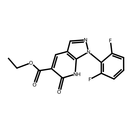 CCOC(=O)c1cc2cnn(-c3c(F)cccc3F)c2[nH]c1=O